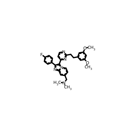 COc1cc(CCc2nccc(-c3c(-c4ccc(F)cc4)nc4cc(CN(C)C)ccn34)n2)cc(OC)c1